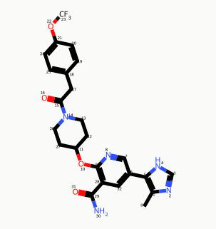 Cc1nc[nH]c1-c1cnc(OC2CCN(C(=O)Cc3ccc(OC(F)(F)F)cc3)CC2)c(C(N)=O)c1